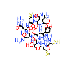 CSCC[C@H](NC(=O)[C@H](CCC(N)=O)NC(=O)[C@H](CC(N)=O)NC(=O)[C@H](Cc1c[nH]c2ccccc12)NC(=O)[C@@H](NC(=O)[C@H](CCSC)NC(=O)[C@@H](N)CS)[C@@H](C)O)C(=O)N[C@@H](CC(N)=O)C(=O)N[C@@H](CC(C)C)C(=O)O